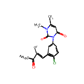 COC(=O)/C(C#N)=C/c1cc(-n2c(=O)cc(C(F)(F)F)n(C)c2=O)ccc1Cl